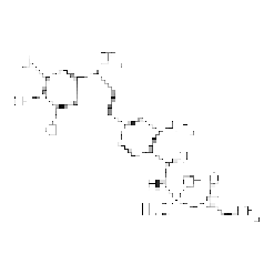 CC(C)(C[S+]([O-])CC(F)(F)F)NC(=O)c1ccc(C=CC(c2cc(Cl)c(Cl)c(Cl)c2)C(F)(F)F)cc1C(F)(F)F